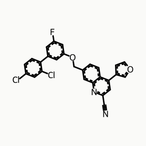 N#Cc1cc(-c2ccoc2)c2ccc(COc3cc(F)cc(-c4ccc(Cl)cc4Cl)c3)cc2n1